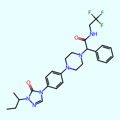 CCC(C)n1ncn(-c2ccc(N3CCN(C(C(=O)NCC(F)(F)F)c4ccccc4)CC3)cc2)c1=O